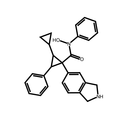 O=C(N(O)c1ccccc1)C1(c2ccc3c(c2)CNC3)C(c2ccccc2)C1C1CC1